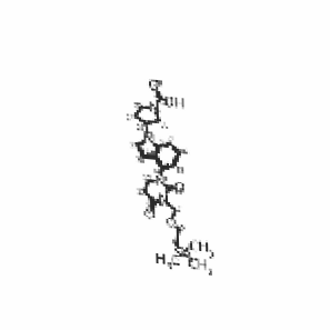 C[Si](C)(C)CCOCN1C(=O)CCN(c2cccc3c2ccn3[C@H]2CCN(C(=O)O)C2)C1=O